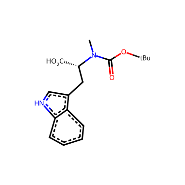 CN(C(=O)OC(C)(C)C)[C@H](Cc1c[nH]c2ccccc12)C(=O)O